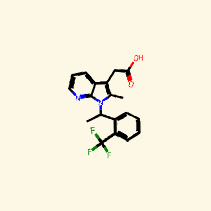 Cc1c(CC(=O)O)c2cccnc2n1C(C)c1ccccc1C(F)(F)F